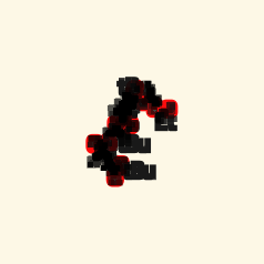 CCC(=O)OCC(CC(C)(C)C)OC(=O)C(C)(C)CC(C)(C)C(=O)OC(COC(=O)C(C)CCC(=O)OC(C)(C)C)CC(C)(C)C